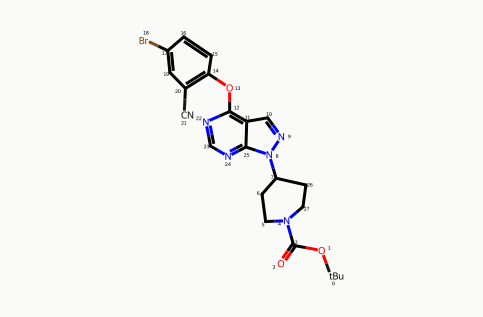 CC(C)(C)OC(=O)N1CCC(n2ncc3c(Oc4ccc(Br)cc4C#N)ncnc32)CC1